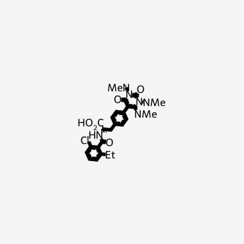 CCc1cccc(Cl)c1C(=O)N[C@@H](Cc1ccc(-c2c(NC)n(NC)c(=O)n(NC)c2=O)cc1)C(=O)O